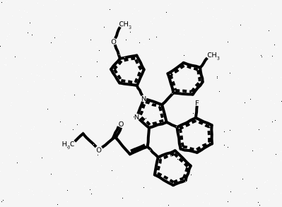 CCOC(=O)C=C(c1ccccc1)c1nn(-c2ccc(OC)cc2)c(-c2ccc(C)cc2)c1-c1ccccc1F